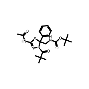 CC(=O)NC1=NN(C(=O)C(C)(C)C)C(CNC(=O)OC(C)(C)C)(c2ccccc2)S1